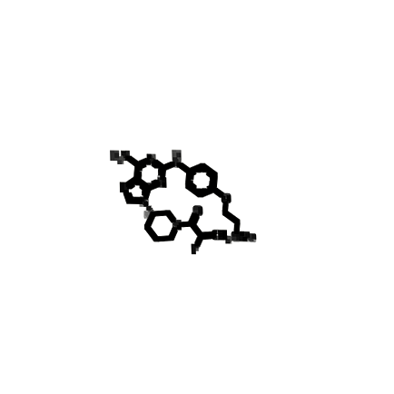 C=C(F)C(=O)N1CCC[C@H](n2cnc3c(N)nc(Nc4ccc(OCCOC)cc4)nc32)C1